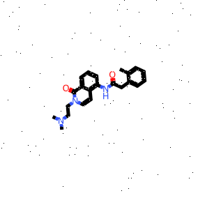 Cc1ccccc1CC(=O)Nc1cccc2c(=O)n(CCN(C)C)ccc12